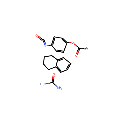 CCCC(=O)Oc1ccc(N=C=O)cc1.NC(N)=O.c1ccc2c(c1)CCCC2